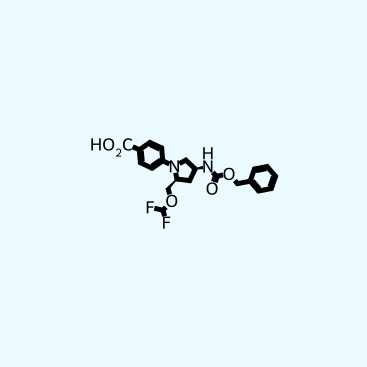 O=C(N[C@H]1C[C@@H](COC(F)F)N(c2ccc(C(=O)O)cc2)C1)OCc1ccccc1